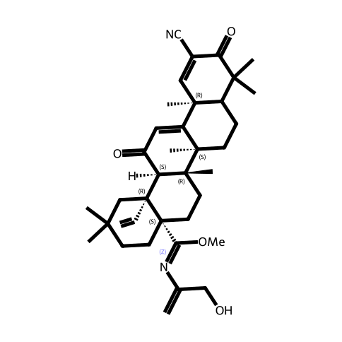 C=C[C@@]12CC(C)(C)CC[C@]1(/C(=N/C(=C)CO)OC)CC[C@]1(C)[C@@H]2C(=O)C=C2[C@@]3(C)C=C(C#N)C(=O)C(C)(C)C3CC[C@]21C